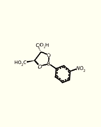 O=C(O)[C@@H]1OB(c2cccc([N+](=O)[O-])c2)O[C@H]1C(=O)O